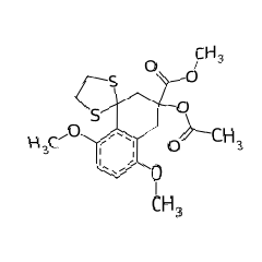 COC(=O)C1(OC(C)=O)Cc2c(OC)ccc(OC)c2C2(C1)SCCS2